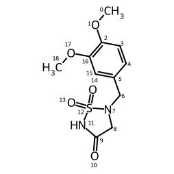 COc1ccc(CN2CC(=O)NS2(=O)=O)cc1OC